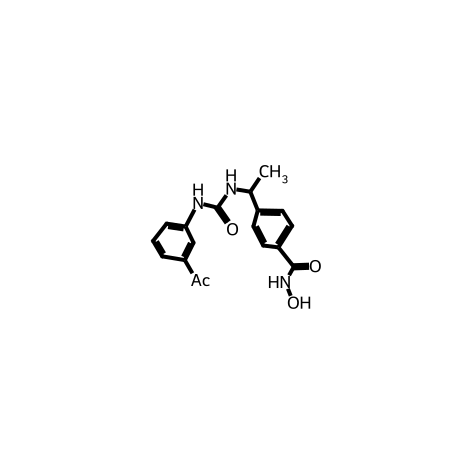 CC(=O)c1cccc(NC(=O)NC(C)c2ccc(C(=O)NO)cc2)c1